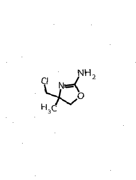 CC1(CCl)COC(N)=N1